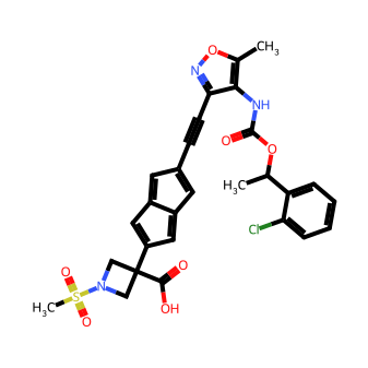 Cc1onc(C#CC2=CC3=CC(C4(C(=O)O)CN(S(C)(=O)=O)C4)=CC3=C2)c1NC(=O)OC(C)c1ccccc1Cl